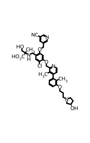 Cc1c(OCCCN2CC[C@@H](O)C2)cccc1-c1ccnc(COc2cc(OCc3cncc(C#N)c3)c(CNC(C)(CO)C(=O)O)cc2Cl)c1C